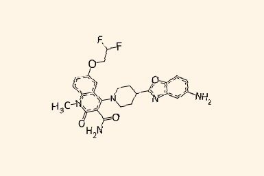 Cn1c(=O)c(C(N)=O)c(N2CCC(c3nc4cc(N)ccc4o3)CC2)c2cc(OCC(F)F)ccc21